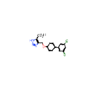 O=C(O)c1[nH]nnc1COC1CCC(c2cc(Cl)cc(Cl)c2)CC1